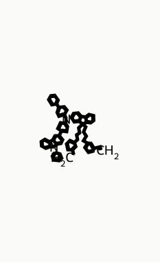 C=Cc1cccc(CCCCC2(CCCCc3cccc(C=C)c3)c3ccccc3-c3ccc(N(c4ccc(-c5ccccc5)cc4)c4ccc(-c5ccc6c(c5)c5ccccc5n6-c5ccccc5)cc4)cc32)c1